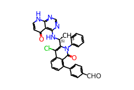 C[C@H](Nc1ncnc2[nH]ccc(=O)c12)c1c(Cl)c2cccc(-c3ccc(C=O)cc3)c2c(=O)n1-c1ccccc1